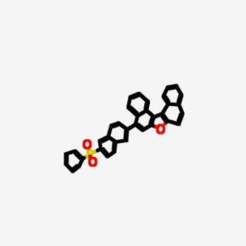 O=S(=O)(c1ccccc1)c1ccc2cc(-c3cc4oc5ccc6ccccc6c5c4c4ccccc34)ccc2c1